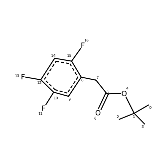 CC(C)(C)OC(=O)Cc1cc(F)c(F)cc1F